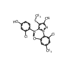 C=[N+](c1ccc(O)cc1Cl)c1c(SC(F)(F)F)c(C#N)nn1-c1c(Cl)cc(C(F)(F)F)cc1Cl